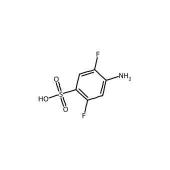 Nc1cc(F)c(S(=O)(=O)O)cc1F